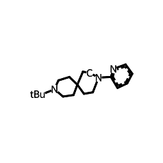 CC(C)(C)N1CCC2(CCN(c3ccccn3)CC2)CC1